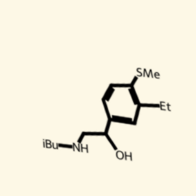 CCc1cc(C(O)CNC(C)CC)ccc1SC